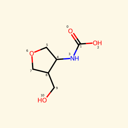 O=C(O)NC1COCC1CO